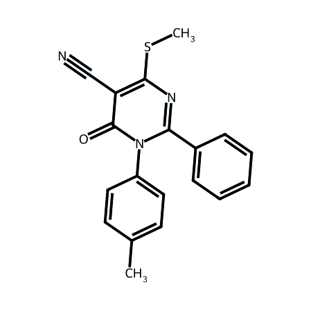 CSc1nc(-c2ccccc2)n(-c2ccc(C)cc2)c(=O)c1C#N